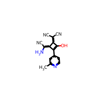 Cc1cc(C2=C(O)C(=C(C#N)C#N)/C2=C(/N)C#N)ccn1